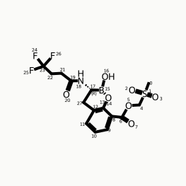 CS(=O)(=O)COC(=O)c1cccc2c1OB(O)[C@@H](NC(=O)CCC(F)(F)F)C2